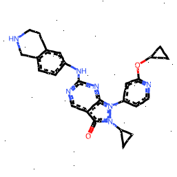 O=c1c2cnc(Nc3ccc4c(c3)CCNC4)nc2n(-c2ccnc(OC3CC3)c2)n1C1CC1